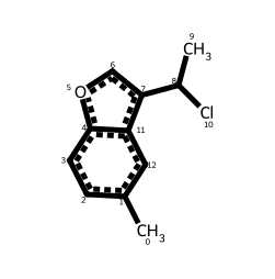 Cc1ccc2occ(C(C)Cl)c2c1